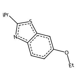 CCOc1ccc2nc(C(C)C)sc2c1